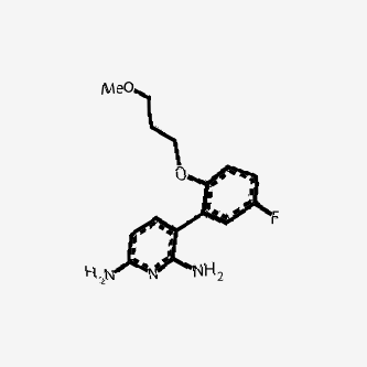 COCCCOc1ccc(F)cc1-c1ccc(N)nc1N